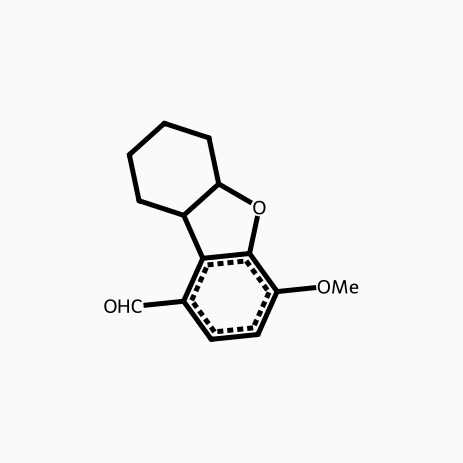 COc1ccc(C=O)c2c1OC1CCCCC21